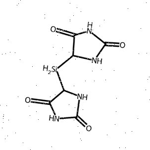 O=C1NC(=O)C([SiH2]C2NC(=O)NC2=O)N1